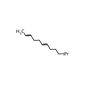 CC=CCCC=CCCCC(C)C